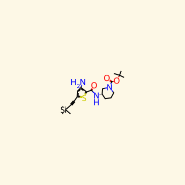 CC(C)(C)OC(=O)N1CCC[C@H](NC(=O)c2sc(C#C[Si](C)(C)C)cc2N)C1